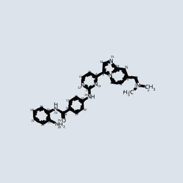 CN(C)Cc1ccn2c(-c3ccnc(Nc4ccc(C(=O)Nc5ccccc5N)cc4)n3)cnc2c1